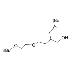 CCCCOCCOCCC(CO)COC(C)(C)C